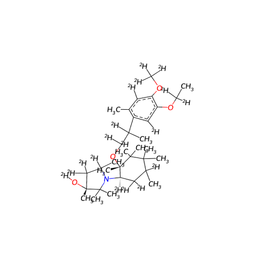 [2H]O[C@@]1(C)C(C)(C)N([C@]2([2H])C([2H])([2H])C([2H])(C)C(C)(C)C(C)(C)[C@@]2(C)OC([2H])([2H])C([2H])(C)c2c([2H])c(OC([2H])([2H])C)c(OC([2H])([2H])[2H])c([2H])c2C)C([2H])(C)C1([2H])[2H]